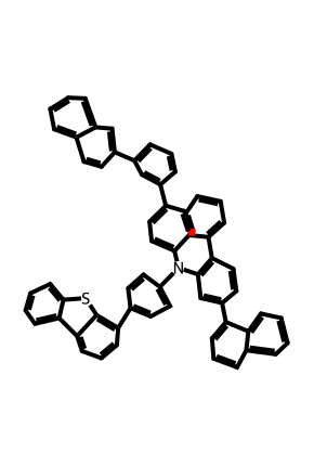 c1ccc(-c2ccc(-c3cccc4ccccc34)cc2N(c2ccc(-c3cccc(-c4ccc5ccccc5c4)c3)cc2)c2ccc(-c3cccc4c3sc3ccccc34)cc2)cc1